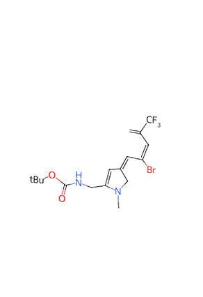 C=C(/C=C(Br)\C=C1\C=C(CNC(=O)OC(C)(C)C)N(C)C1)C(F)(F)F